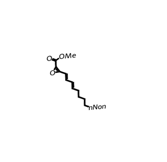 CCCCCCCCCCCCCC=CC=CC1=C(C(=O)OC)O1